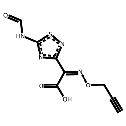 C#CCON=C(C(=O)O)c1nsc(NC=O)n1